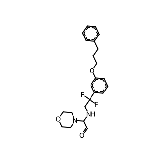 O=CC(NCC(F)(F)c1cccc(OCCCc2ccccc2)c1)N1CCOCC1